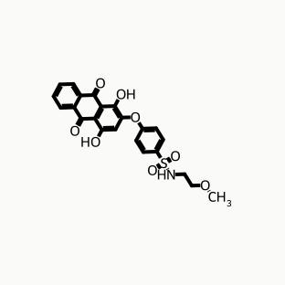 COCCNS(=O)(=O)c1ccc(Oc2cc(O)c3c(c2O)C(=O)c2ccccc2C3=O)cc1